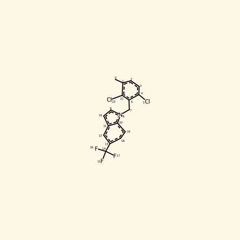 Cc1ccc(Cl)c(Cn2ccc3cc(C(F)(F)F)ccc32)c1Cl